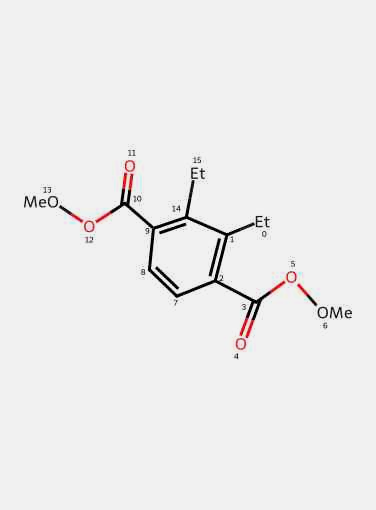 CCc1c(C(=O)OOC)ccc(C(=O)OOC)c1CC